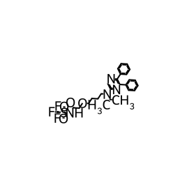 CC(C)N(CCCCOCC(=O)NS(=O)(=O)C(F)(F)F)c1cnc(-c2ccccc2)c(-c2ccccc2)n1